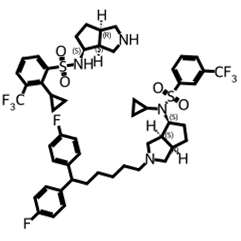 O=S(=O)(N[C@H]1CC[C@H]2CNC[C@H]21)c1cccc(C(F)(F)F)c1C1CC1.O=S(=O)(c1cccc(C(F)(F)F)c1)N(C1CC1)[C@H]1CC[C@H]2CN(CCCCCC(c3ccc(F)cc3)c3ccc(F)cc3)C[C@H]21